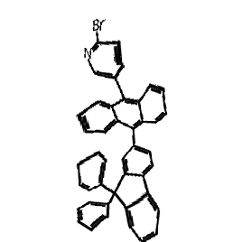 Brc1ccc(-c2c3ccccc3c(-c3ccc4c(c3)C(C3=CCCC=C3)(c3ccccc3)c3ccccc3-4)c3ccccc23)cn1